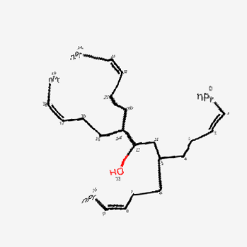 CCC/C=C\CCC(CC/C=C\CCC)CC(O)C(CC/C=C\CCC)CC/C=C\CCC